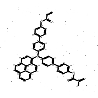 C=CC(=O)Oc1ccc(-c2ccc(N(c3ccc(-c4ccc(OC(=O)C(=C)C)cc4)cc3)c3ccc4ccc5cccc6ccc3c4c56)cc2)cc1